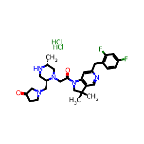 C[C@@H]1CN(CC(=O)N2CC(C)(C)c3cnc(Cc4ccc(F)cc4F)cc32)[C@@H](CN2CCC(=O)C2)CN1.Cl.Cl